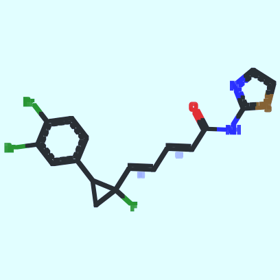 O=C(/C=C/C=C/C1(F)CC1c1ccc(Br)c(Br)c1)Nc1nccs1